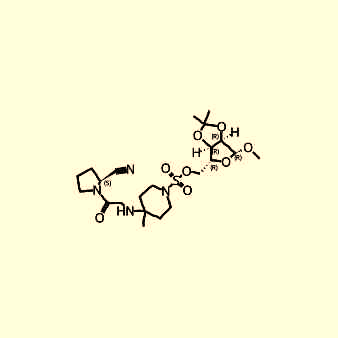 CO[C@@H]1O[C@H](COS(=O)(=O)N2CCC(C)(NCC(=O)N3CCC[C@H]3C#N)CC2)[C@H]2OC(C)(C)O[C@@H]12